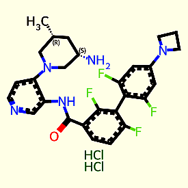 C[C@@H]1C[C@H](N)CN(c2ccncc2NC(=O)c2ccc(F)c(-c3c(F)cc(N4CCC4)cc3F)c2F)C1.Cl.Cl